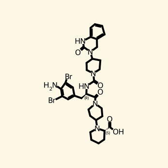 Nc1c(Br)cc(C[C@@H](NC(=O)N2CCC(N3Cc4ccccc4NC3=O)CC2)C(=O)N2CCC(N3CCCC[C@H]3C(=O)O)CC2)cc1Br